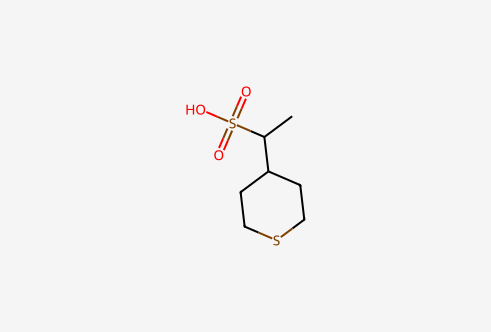 CC(C1CCSCC1)S(=O)(=O)O